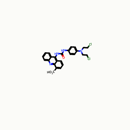 O=C(Nc1ccc(N(CCCl)CCCl)cc1)Nc1c2ccccc2nc2c(C(=O)O)cccc12